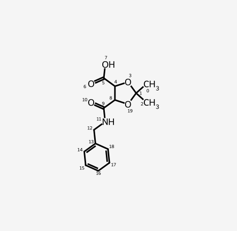 CC1(C)OC(C(=O)O)C(C(=O)NCc2ccccc2)O1